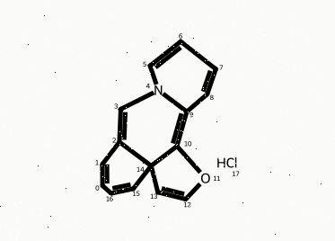 C1=CC2=CN3C=CC=CC3=C3OC=CC23C=C1.Cl